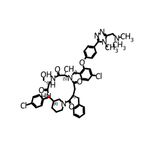 C[C@H]1C(=O)N[C@@H](CO)C(=O)N[C@@]2(Cc3ccc(Cl)cc3)CCCN(C2)C(=O)[C@H](Cc2ccccc2)CC(=O)N1Cc1ccc(Cl)cc1Oc1ccc(-c2nnc(CN(C)C)n2C)cc1